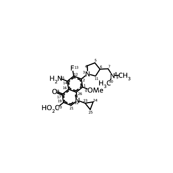 COc1c(N2CCC(CN(C)C)C2)c(F)c(N)c2c(=O)c(C(=O)O)cn(C3CC3)c12